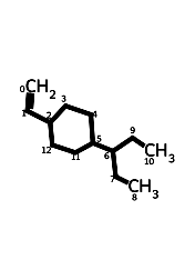 C=CC1CCC(C(CC)CC)CC1